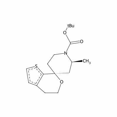 C[C@H]1C[C@]2(CCN1C(=O)OC(C)(C)C)OCCc1ccsc12